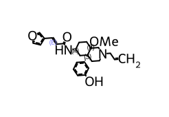 C=CCN1CC[C@@]2(c3cccc(O)c3)C[C@H](NC(=O)/C=C/c3ccoc3)CC[C@]2(OC)C1